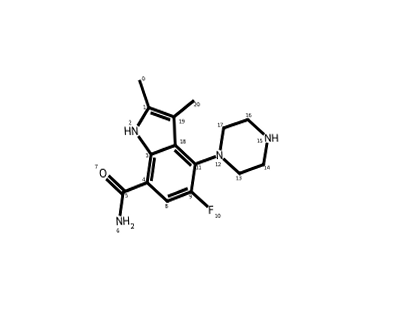 Cc1[nH]c2c(C(N)=O)cc(F)c(N3CCNCC3)c2c1C